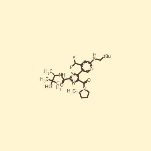 C[C@H]1CCCN1C(=O)c1nc(C(=O)N[C@H](C)C(C)(C)O)sc1-c1cnc(NCC(C)(C)C)cc1C(F)F